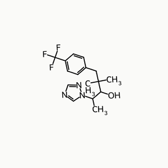 CC(C(O)C(C)(C)Cc1ccc(C(F)(F)F)cc1)n1cncn1